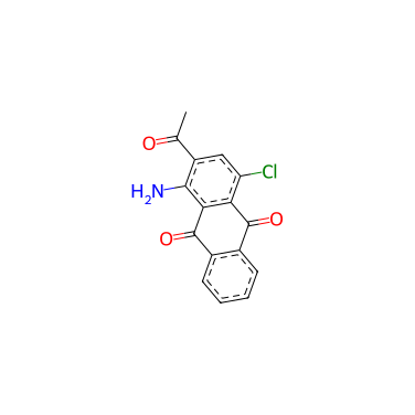 CC(=O)c1cc(Cl)c2c(c1N)C(=O)c1ccccc1C2=O